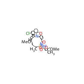 COCc1oc(C(=O)N[S@@]2(=O)=NC(=O)c3ccc4c(c3)N(C[C@@H]3CC[C@H]3[C@@H](OC)/C=C/C[C@H](C)C2)C[C@@]2(CCCc3cc(Cl)ccc32)CO4)cc1C